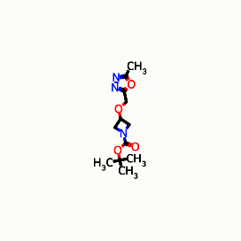 Cc1nnc(COC2CN(C(=O)OC(C)(C)C)C2)o1